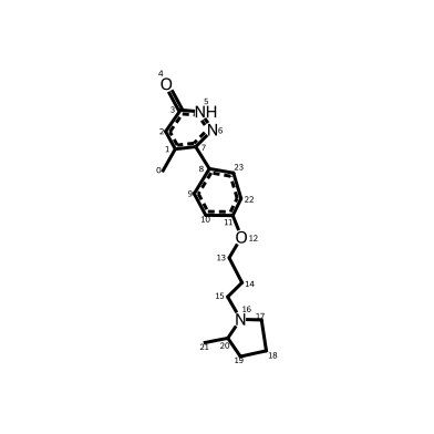 Cc1cc(=O)[nH]nc1-c1ccc(OCCCN2CCCC2C)cc1